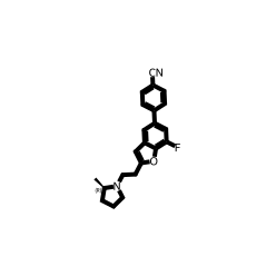 C[C@@H]1CCCN1CCc1cc2cc(-c3ccc(C#N)cc3)cc(F)c2o1